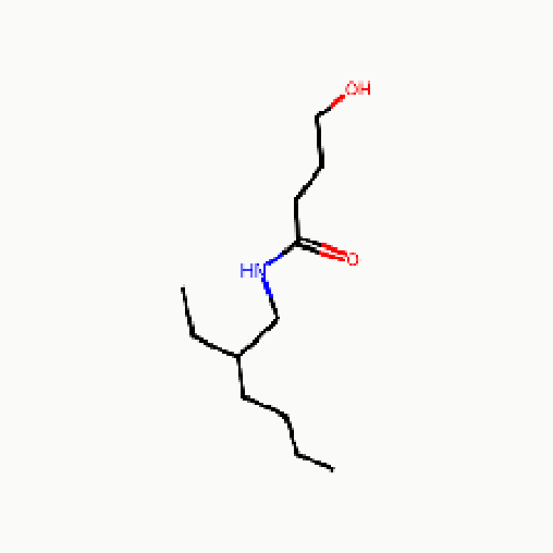 CCCCC(CC)CNC(=O)CCCO